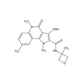 COc1c(C(=O)NC2(C)COC2)n(C)c2c1c(=O)n(C)c1ccc(C)cc21